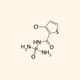 NP(N)(=O)NC(=O)c1sccc1Cl